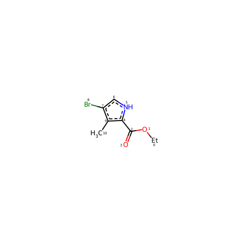 CCOC(=O)c1[nH]cc(Br)c1C